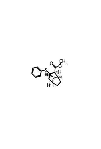 COC(=O)[C@@H]1[C@H]2CC[C@@H](C[C@H]1Sc1ccccc1)N2C